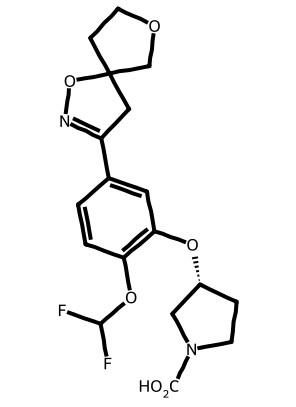 O=C(O)N1CC[C@@H](Oc2cc(C3=NOC4(CCOC4)C3)ccc2OC(F)F)C1